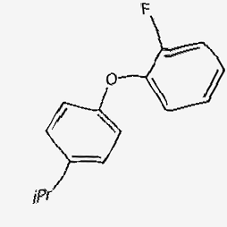 CC(C)c1ccc(Oc2ccccc2F)cc1